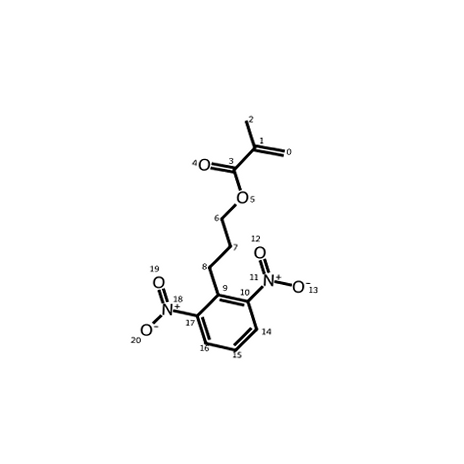 C=C(C)C(=O)OCCCc1c([N+](=O)[O-])cccc1[N+](=O)[O-]